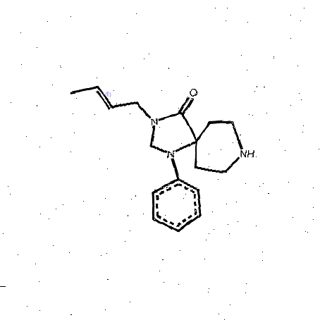 C/C=C/CN1CN(c2ccccc2)C2(CCNCC2)C1=O